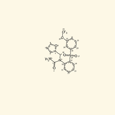 NC(=O)N(Cc1cnco1)c1ccccc1S(=O)(=O)c1cccc(OC(F)(F)F)c1